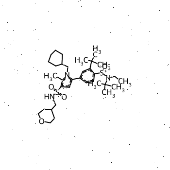 CCN([S+]([O-])c1ccc(-c2cc(S(=O)(=O)NCC3CCOCC3)c(C)n2CC2CCCCC2)cc1C(C)(C)C)C(C)(C)C